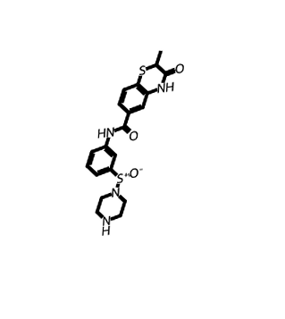 CC1Sc2ccc(C(=O)Nc3cccc([S+]([O-])N4CCNCC4)c3)cc2NC1=O